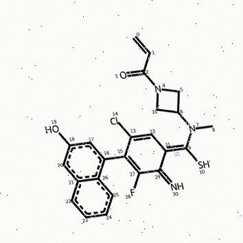 C=CC(=O)N1CC(N(C)/C(S)=C2\C=C(Cl)C(c3cc(O)cc4ccccc34)=C(F)C2=N)C1